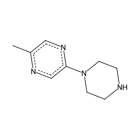 Cc1cnc(N2CCNCC2)cn1